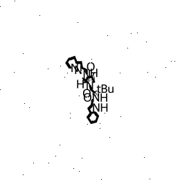 CC(C)(C)[C@H](NC(=O)c1cc2ccccc2[nH]1)C(=O)N1C[C@@H]2C[C@H]1CN2C(=O)c1cc2ccccn2n1